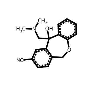 CN(C)CC1(O)c2cc(C#N)ccc2COc2ccccc21